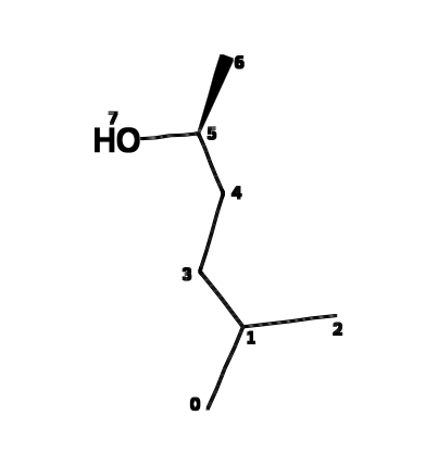 CC(C)CC[C@H](C)O